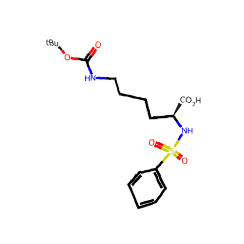 CC(C)(C)OC(=O)NCCCC[C@H](NS(=O)(=O)c1ccccc1)C(=O)O